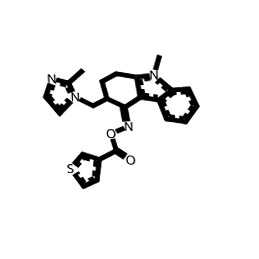 Cc1nccn1CC1CCc2c(c3ccccc3n2C)C1=NOC(=O)c1ccsc1